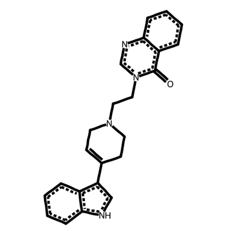 O=c1c2ccccc2ncn1CCN1CC=C(c2c[nH]c3ccccc23)CC1